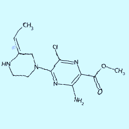 C/C=C1\CN(c2nc(N)c(C(=O)OC)nc2Cl)CCN1